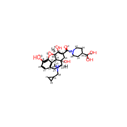 O=C(C1=C(O)[C@@H]2Oc3c(O)ccc4c3[C@@]23CCN(CC2CC2)[C@H](C4)[C@]3(O)C1)N1CCC(C(O)O)CC1